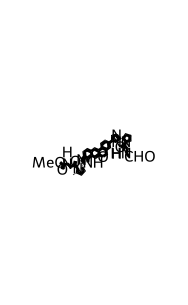 COC(=O)NCC(=O)N1[C@@H](C)CC[C@H]1c1nc2ccc3cc4c(cc3c2[nH]1)OCc1cc(-c2cnc([C@@H]3CCCN3C(=O)CNC=O)[nH]2)ccc1-4